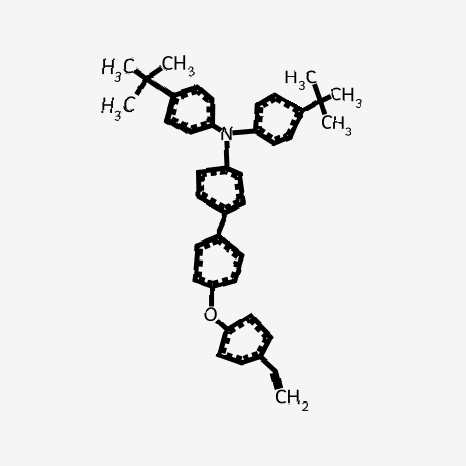 C=Cc1ccc(Oc2ccc(-c3ccc(N(c4ccc(C(C)(C)C)cc4)c4ccc(C(C)(C)C)cc4)cc3)cc2)cc1